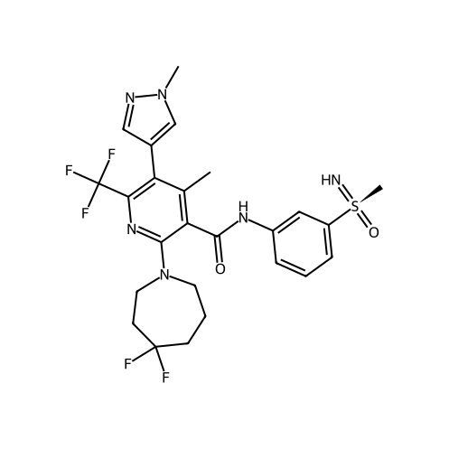 Cc1c(C(=O)Nc2cccc([S@](C)(=N)=O)c2)c(N2CCCC(F)(F)CC2)nc(C(F)(F)F)c1-c1cnn(C)c1